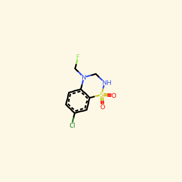 O=S1(=O)NCN(CF)c2ccc(Cl)cc21